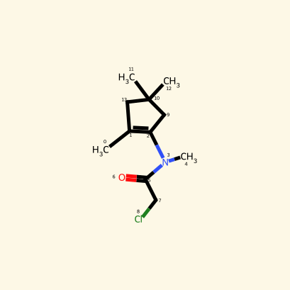 CC1=C(N(C)C(=O)CCl)CC(C)(C)C1